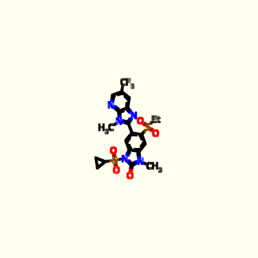 CCS(=O)(=O)c1cc2c(cc1-c1nc3cc(C(F)(F)F)cnc3n1C)n(S(=O)(=O)C1CC1)c(=O)n2C